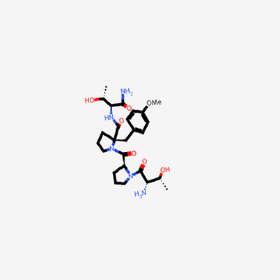 COc1ccc(C[C@]2(C(=O)N[C@H](C(N)=O)[C@@H](C)O)CCCN2C(=O)[C@@H]2CCCN2C(=O)[C@@H](N)[C@@H](C)O)cc1